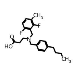 CCCCc1ccc(CN(CCC(=O)O)Cc2c(F)ccc(C)c2F)cc1